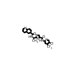 C[C@@H](NC(=O)c1ccc2ncccc2c1)c1ncc(C(=O)Nc2cc(C(F)(F)F)c(Cl)cn2)s1